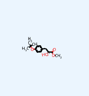 COC(=O)[C@@H](O)Cc1ccc(OC(C)(C)C)cc1